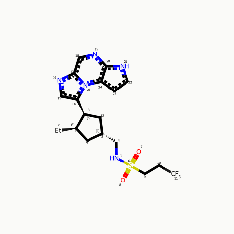 CC[C@@H]1C[C@@H](CNS(=O)(=O)CCC(F)(F)F)C[C@@H]1c1cnc2cnc3[nH]ccc3n12